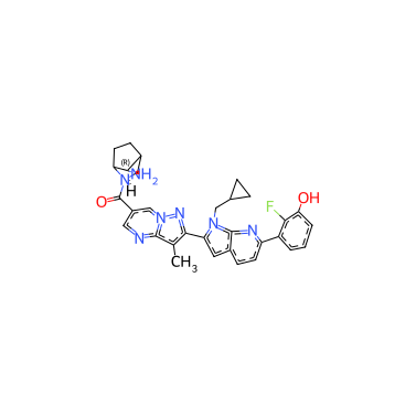 Cc1c(-c2cc3ccc(-c4cccc(O)c4F)nc3n2CC2CC2)nn2cc(C(=O)N3CC4CCC3[C@@H]4N)cnc12